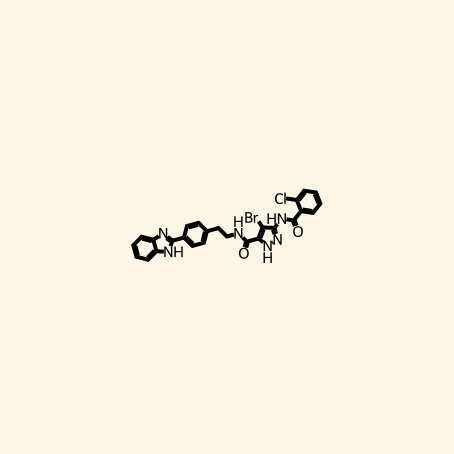 O=C(Nc1n[nH]c(C(=O)NCCc2ccc(-c3nc4ccccc4[nH]3)cc2)c1Br)c1ccccc1Cl